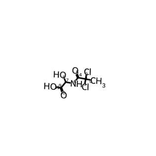 CC(Cl)(Cl)C(=O)NC(O)C(=O)O